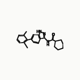 Cc1cccc(C)c1-c1ccc2c(NC(=O)C3CCCCC3)n[nH]c2c1